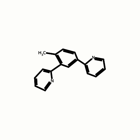 Cc1ccc(-c2ccccn2)cc1-c1ccccn1